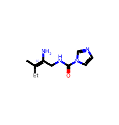 CC/C(C)=C(/N)CNC(=O)n1ccnc1